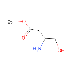 CCOC(=O)CC(N)CO